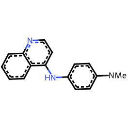 CNc1ccc(Nc2ccnc3ccccc23)cc1